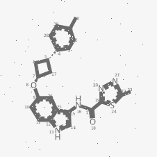 Cc1ccc([C@H]2C[C@H](Oc3ccc4[nH]cc(NC(=O)c5nnc(C)s5)c4c3)C2)cc1